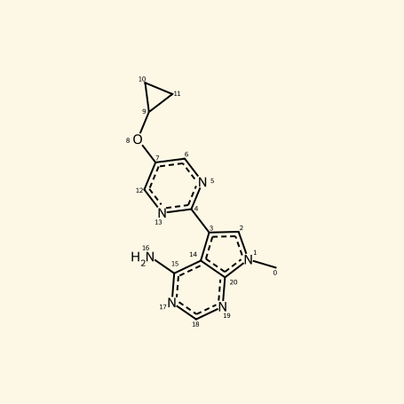 Cn1cc(-c2ncc(OC3CC3)cn2)c2c(N)ncnc21